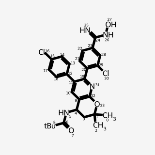 CC1(C)CC(NC(=O)C(C)(C)C)c2cc(-c3ccc(Cl)cc3)c(-c3ccc(C(=N)NO)cc3Cl)nc2O1